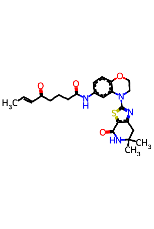 CC=CC(=O)CCCC(=O)Nc1ccc2c(c1)N(c1nc3c(s1)C(=O)NC(C)(C)C3)CCO2